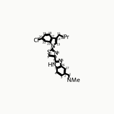 CNCc1ccc2[nH]c(-c3csc(-n4cc(CC(C)C)c5ccc(Cl)cc54)n3)nc2c1